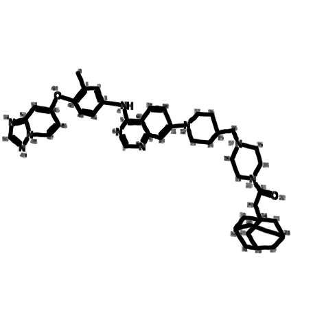 Cc1cc(Nc2ncnc3cc(N4CCC(CN5CCN(C(=O)CC67CC8CC(CC(C8)C6)C7)CC5)CC4)ccc23)ccc1Oc1ccn2ncnc2c1